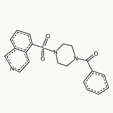 O=C(c1ccccc1)N1CCN(S(=O)(=O)c2cccc3cnccc23)CC1